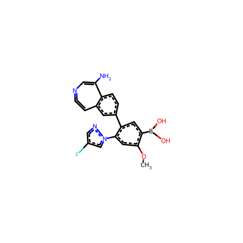 COc1cc(-n2cc(F)cn2)c(-c2ccc3c(c2)C=C=NC=C3N)cc1B(O)O